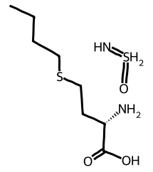 CCCCSCC[C@H](N)C(=O)O.N=[SH2]=O